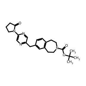 CC(C)(C)OC(=O)N1CCc2ccc(Cc3cnc(N4CCCC4=O)cn3)cc2CC1